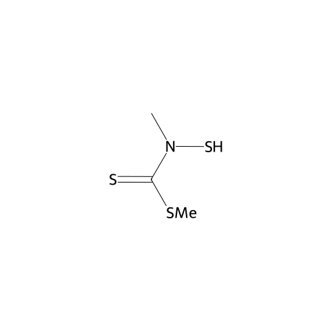 CSC(=S)N(C)S